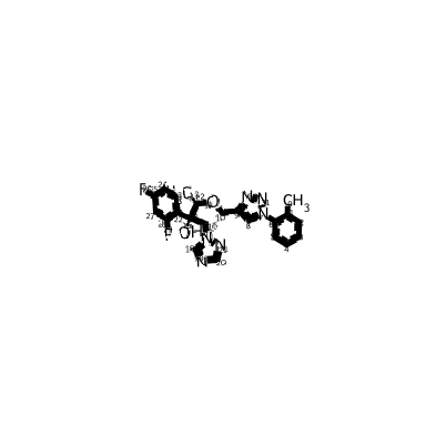 Cc1ccccc1-n1cc(CO[C@H](C)[C@](O)(Cn2cncn2)c2ccc(F)cc2F)nn1